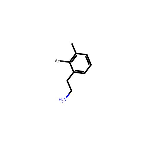 CC(=O)c1c(C)cccc1CCN